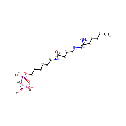 CCCCC/C(N)=C/NCCCC(=O)NCCCCCCOP(=O)(O)O[PH](=O)O